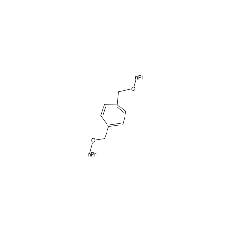 CCCOCc1ccc(COCCC)cc1